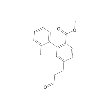 COC(=O)c1ccc(CCC=O)cc1-c1ccccc1C